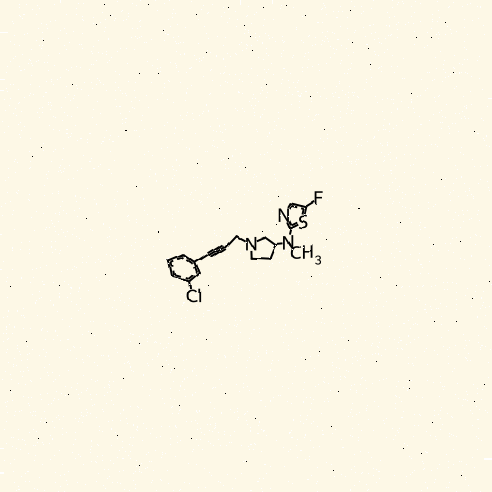 CN(c1ncc(F)s1)C1CCN(CC#Cc2cccc(Cl)c2)C1